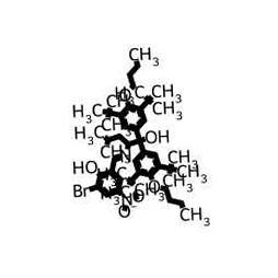 CCCCOc1c(C(C)(C)C)cc(C(O)(c2cc(C(C)(C)C)c(OCCCC)c(C(C)(C)C)c2)C(CC(C)C)N=Cc2cc([N+](=O)[O-])cc(Br)c2O)cc1C(C)(C)C